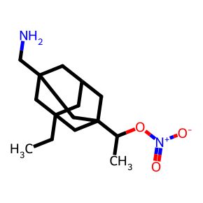 CCC12CC3CC(CN)(C1)CC(C(C)O[N+](=O)[O-])(C3)C2